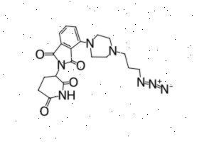 [N-]=[N+]=NCCCN1CCN(c2cccc3c2C(=O)N(C2CCC(=O)NC2=O)C3=O)CC1